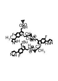 Cc1cn[nH]c1-c1cc2c(cc1F)c(CNS(=O)(=O)C1CC1)cn2CC(C)(C)C1CC1S(=O)(=O)NCc1cn(CC(C)(C)C2CC2S(=O)(=O)NCc2cn(CC(C)(C)C)c3cc(-c4ccncn4)c(F)cc23)c2cc(-c3ccn[nH]3)c(F)cc12